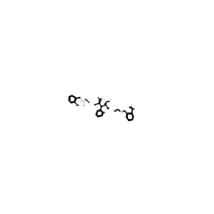 CC1=C(C(=O)OCCNC(=O)c2ccccc2C(=O)O)C(c2cccc(Cl)c2)C(C(=O)OCCNC(=O)c2ccccc2C(=O)O)=C(C)N1